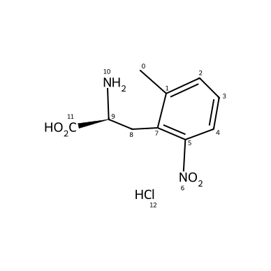 Cc1cccc([N+](=O)[O-])c1C[C@H](N)C(=O)O.Cl